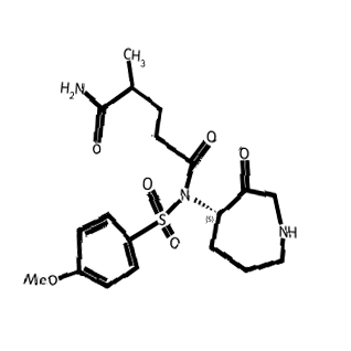 COc1ccc(S(=O)(=O)N(C(=O)[CH]CC(C)C(N)=O)[C@H]2CCCNCC2=O)cc1